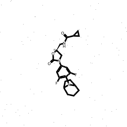 O=C(NC[C@H]1CN(c2cc(F)c(N3C4CCCC3CC4)c(F)c2)C(=O)O1)C1CC1